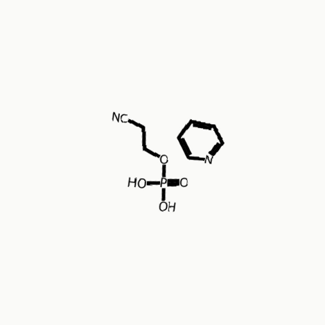 N#CCCOP(=O)(O)O.c1ccncc1